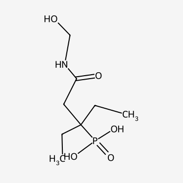 CCC(CC)(CC(=O)NCO)P(=O)(O)O